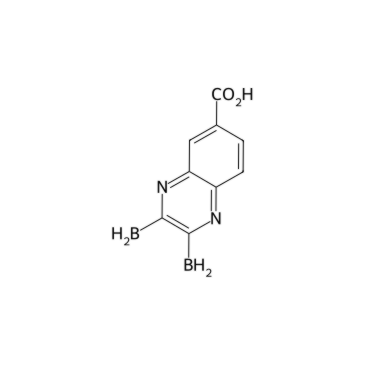 Bc1nc2ccc(C(=O)O)cc2nc1B